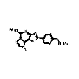 CNc1nc2nc(-c3ccc(CNC(C)=O)cc3)sc2c2c1ncn2C